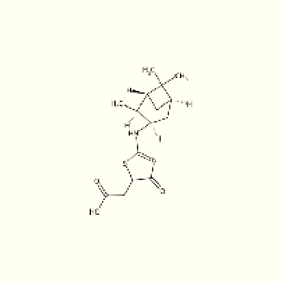 C[C@H]1[C@H]2C[C@H](C[C@H]1NC1=NC(=O)C(CC(=O)O)S1)C2(C)C